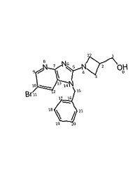 OCC1CN(c2nc3ncc(Br)cc3n2Cc2ccccc2)C1